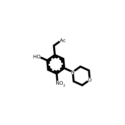 CC(=O)Cc1cc(N2CCOCC2)c([N+](=O)[O-])cc1O